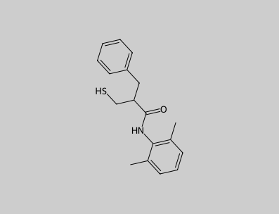 Cc1cccc(C)c1NC(=O)C(CS)Cc1ccccc1